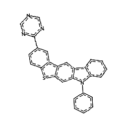 c1ccc(-n2c3ccccc3c3cc4c(cc32)sc2ccc(-c3ncncn3)cc24)cc1